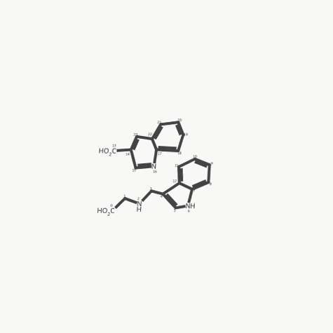 O=C(O)CNCc1c[nH]c2ccccc12.O=C(O)c1cnc2ccccc2c1